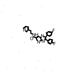 O=C(NCCc1cccnc1)c1cnc2nc(-c3ccc(F)cc3)c(-c3ccc(F)cc3)nc2c1